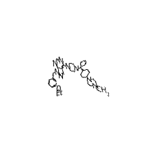 CCOc1cccc(Cn2ncc3c(N4CCN(C(=O)C5CCC(N6CCN(C)CC6)CC5)CC4)ncnc32)c1